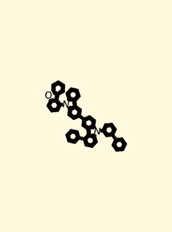 c1ccc(-c2cccc(-n3c4ccc(-c5ccc6c(c5)c5ccccc5n6-c5cccc6oc7ccccc7c56)cc4c4c(-c5ccccc5)cccc43)c2)cc1